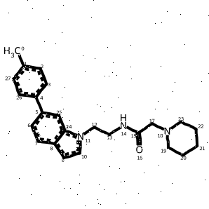 Cc1ccc(-c2ccc3ccn(CCNC(=O)CN4CCCCC4)c3c2)cc1